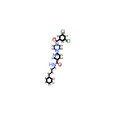 O=C(NCCCCc1ccccc1)c1ccc(N2CCN(C(=O)c3cc(Cl)cc(Cl)c3)CC2)nc1